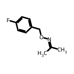 CC(C)=NOCc1ccc(F)cc1